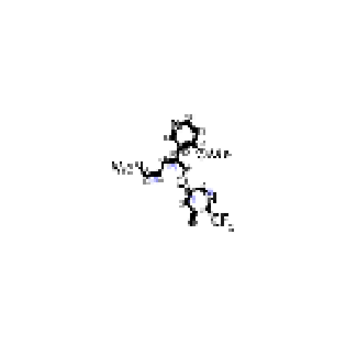 C=C/C=C(\C=N/CC(F)(F)F)OC/C(=C\C=C/NC)c1cnccc1OC